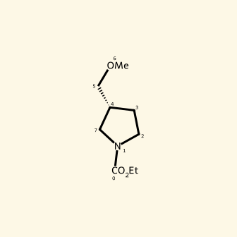 CCOC(=O)N1CC[C@@H](COC)C1